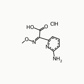 CON=C(C(=O)O)c1cccc(N)n1.Cl